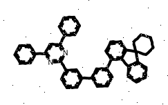 c1ccc(-c2cc(-c3ccccc3)nc(-c3cccc(-c4cccc(-c5cccc6c5-c5ccccc5C65CCCCC5)c4)c3)n2)cc1